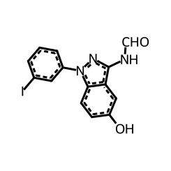 O=CNc1nn(-c2cccc(I)c2)c2ccc(O)cc12